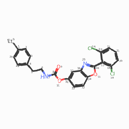 CCc1ccc(CCNC(=O)Oc2ccc3oc(-c4c(Cl)cccc4Cl)nc3c2)cc1